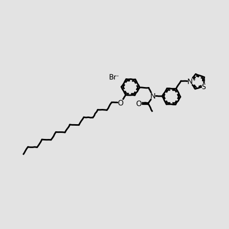 CCCCCCCCCCCCCCOc1cccc(CN(C(C)=O)c2cccc(C[n+]3ccsc3)c2)c1.[Br-]